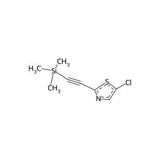 C[Si](C)(C)C#Cc1ncc(Cl)s1